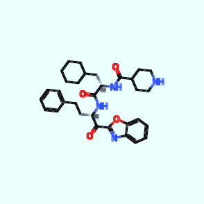 O=C(N[C@@H](CC1CCCCC1)C(=O)N[C@@H](CCc1ccccc1)C(=O)c1nc2ccccc2o1)C1CCNCC1